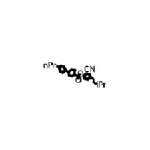 CCCc1ccc(C2CCC(C(=O)Oc3ccc(CCC(C)C)cc3C#N)CC2)cc1